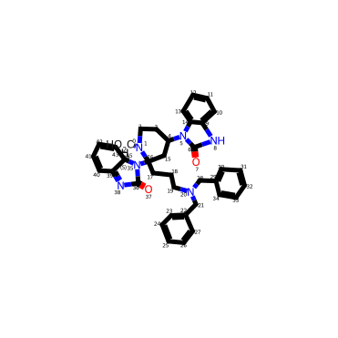 O=C(O)N1CCC(n2c(=O)[nH]c3ccccc32)CC1(CCCN(Cc1ccccc1)Cc1ccccc1)N1C(=O)N=C2C=CC=C[C@@H]21